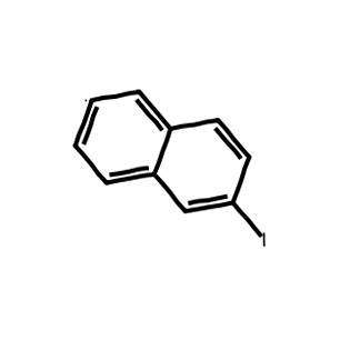 Ic1ccc2c[c]ccc2c1